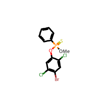 COP(=S)(Oc1cc(Cl)c(Br)cc1Cl)c1ccccc1